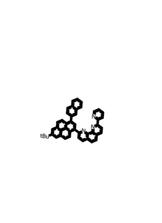 CC(C)(C)c1cc2ccc3c(-c4ccc5ccccc5c4)cc(-c4ccc5ccc6ccc(-c7ccccn7)nc6c5n4)c4ccc(c1)c2c34